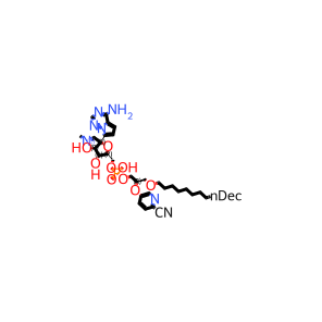 CCCCCCCCCCCCCCCCCCOC[C@H](COP(=O)(O)OC[C@H]1O[C@@](/C=N/C)(c2ccc3c(N)ncnn23)[C@H](O)[C@@H]1O)Oc1ccc(C#N)nc1